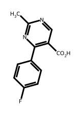 Cc1ncc(C(=O)O)c(-c2ccc(F)cc2)n1